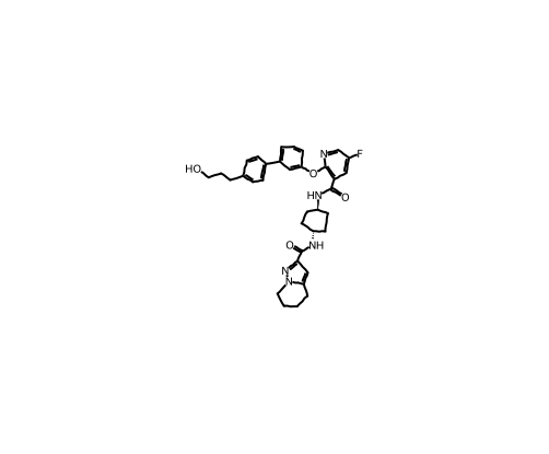 O=C(N[C@H]1CC[C@H](NC(=O)c2cc(F)cnc2Oc2cccc(-c3ccc(CCCO)cc3)c2)CC1)c1cc2n(n1)CCCC2